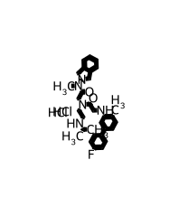 Cc1ccc(-c2ccc(F)cc2)cc1NCC(=O)N(CCNC(C)C)CC(=O)N(C)N1Cc2ccccc2C1.Cl.Cl